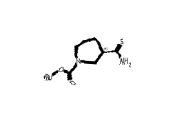 CC(C)(C)OC(=O)N1CCC[C@@H](C(N)=S)C1